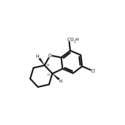 O=C(O)c1cc(Cl)cc2c1O[C@H]1CCCC[C@@H]21